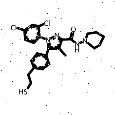 Cc1c(C(=O)NN2CCCCC2)nn(-c2ccc(Cl)cc2Cl)c1-c1ccc(CCS)cc1